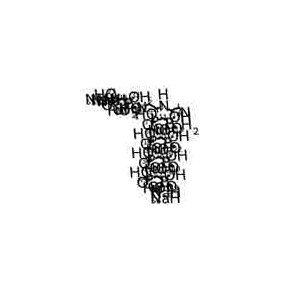 NCCNCCN.O=P(O)(O)CP(=O)(O)O.O=P(O)(O)CP(=O)(O)O.O=P(O)(O)CP(=O)(O)O.O=P(O)(O)CP(=O)(O)O.O=P(O)(O)CP(=O)(O)O.[NaH].[NaH].[NaH].[NaH].[NaH]